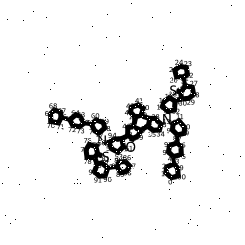 c1ccc(-c2ccc(-c3cccc(N(c4ccc5sc6c(-c7ccccc7)cccc6c5c4)c4ccc5c(c4)c4ccccc4c4cc6c(cc54)oc4ccc(N(c5cccc(-c7ccc(-c8ccccc8)cc7)c5)c5cccc7c5sc5c(-c8ccccc8)cccc57)cc46)c3)cc2)cc1